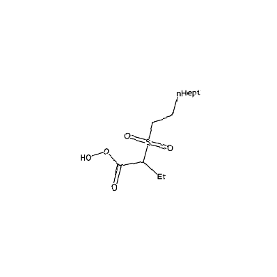 CCCCCCCCCS(=O)(=O)C(CC)C(=O)OO